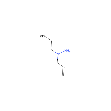 C=CCN(N)CCCCC